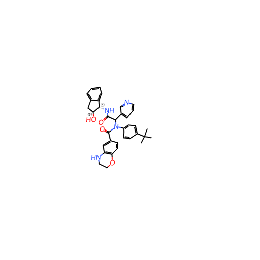 CC(C)(C)c1ccc(N(C(=O)c2ccc3c(c2)NCCO3)C(C(=O)N[C@H]2c3ccccc3C[C@@H]2O)c2cccnc2)cc1